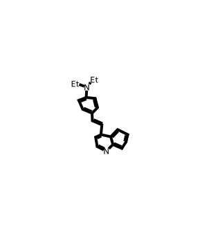 CCN(CC)c1ccc(C=Cc2ccnc3ccccc23)cc1